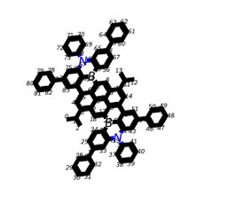 CC(C)c1cc2c3c(cc4c(C(C)C)cc5c6c(cc1c3c46)B1c3ccc(-c4ccccc4)cc3N(c3ccccc3)c3cc(-c4ccccc4)cc-5c31)B1c3ccc(-c4ccccc4)cc3N(c3ccccc3)c3cc(-c4ccccc4)cc-2c31